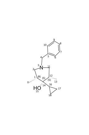 C[C@@H]1CN(Cc2ccccc2)C[C@H](C)[C@@]1(O)C1CC1